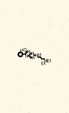 CCN(CC)CCCCNc1ncc2nc(-c3ccccc3)c(O)nc2n1